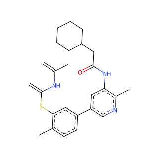 C=C(C)NC(=C)Sc1cc(-c2cnc(C)c(NC(=O)CC3CCCCC3)c2)ccc1C